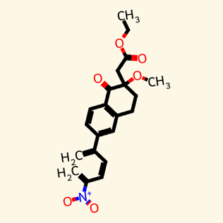 C=C(/C=C\C(=C)[N+](=O)[O-])c1ccc2c(c1)CCC(CC(=O)OCC)(OC)C2=O